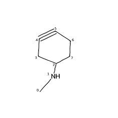 CNC1CC#CCC1